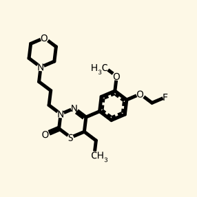 CCC1SC(=O)N(CCCN2CCOCC2)N=C1c1ccc(OCF)c(OC)c1